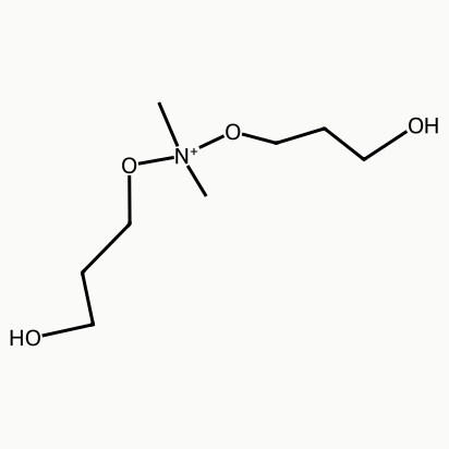 C[N+](C)(OCCCO)OCCCO